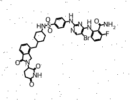 NC(=O)c1c(F)cccc1Nc1nc(Nc2ccc(S(=O)(=O)NC3CCC(Cc4cccc5c4CN(C4CCC(=O)NC4=O)C5=O)CC3)cc2)ncc1Br